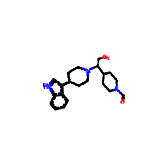 O=CN1CCC(C(CO)N2CCC(c3c[nH]c4ccccc34)CC2)CC1